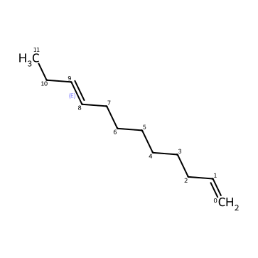 C=CCCCCCC/C=C/CC